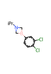 CC(C)N1CB(c2ccc(Cl)c(Cl)c2)C1